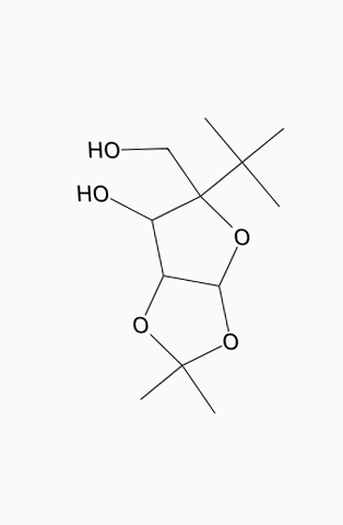 CC1(C)OC2OC(CO)(C(C)(C)C)C(O)C2O1